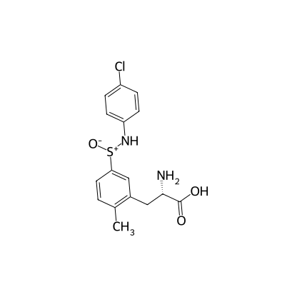 Cc1ccc([S+]([O-])Nc2ccc(Cl)cc2)cc1C[C@H](N)C(=O)O